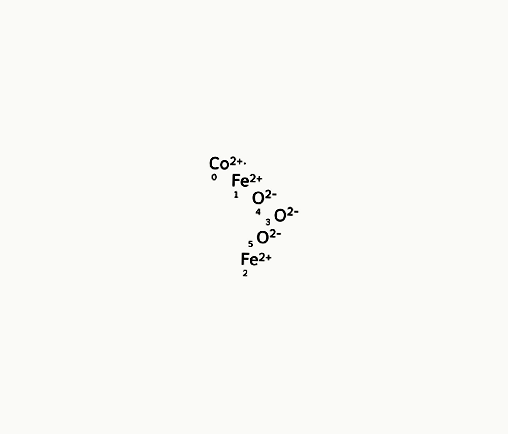 [Co+2].[Fe+2].[Fe+2].[O-2].[O-2].[O-2]